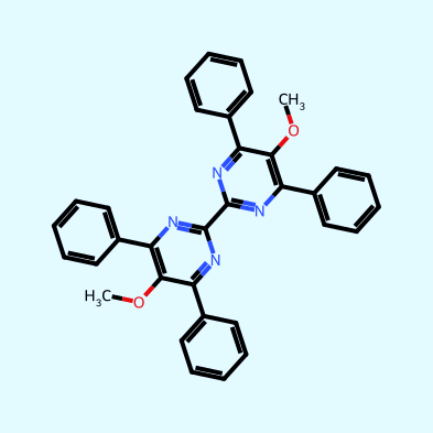 COc1c(-c2ccccc2)nc(-c2nc(-c3ccccc3)c(OC)c(-c3ccccc3)n2)nc1-c1ccccc1